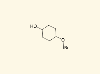 CC(C)(C)OC1CCC(O)CC1